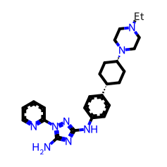 CCN1CCN([C@H]2CC[C@@H](c3ccc(Nc4nc(N)n(-c5ccccn5)n4)cc3)CC2)CC1